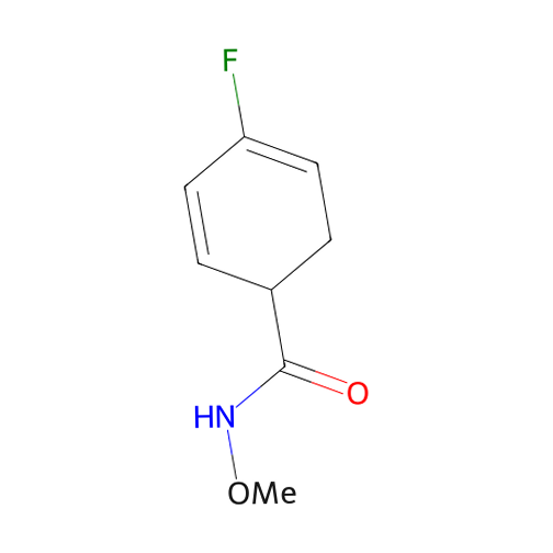 CONC(=O)C1C=CC(F)=CC1